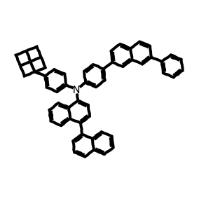 c1ccc(-c2ccc3ccc(-c4ccc(N(c5ccc(C67CC8CC9CC(C6)C987)cc5)c5ccc(-c6cccc7ccccc67)c6ccccc56)cc4)cc3c2)cc1